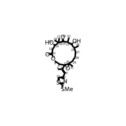 CSc1nc(/C=C(\C)C23CCOC(=O)CC(O)C(C)(C)C(=O)C(C)C(O)C(C)CCCC2(C)O3)cs1